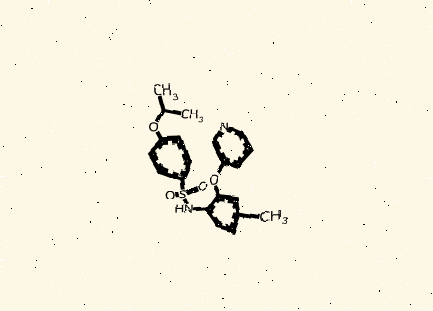 Cc1ccc(NS(=O)(=O)c2ccc(OC(C)C)cc2)c(Oc2cccnc2)c1